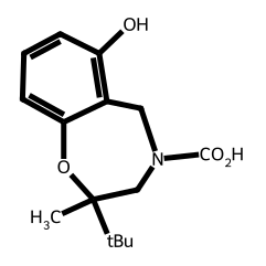 CC(C)(C)C1(C)CN(C(=O)O)Cc2c(O)cccc2O1